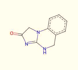 O=C1CN2C(=N1)NCc1ccccc12